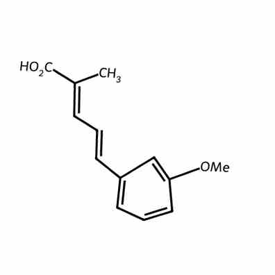 COc1cccc(C=CC=C(C)C(=O)O)c1